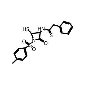 Cc1ccc(S(=O)(=O)N2C(=O)C(NC(=S)Cc3ccccc3)C2S)cc1